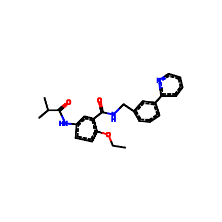 CCOc1ccc(NC(=O)C(C)C)cc1C(=O)NCc1cccc(-c2ccccn2)c1